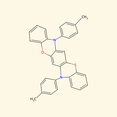 Cc1ccc(-n2c3ccccc3oc3cc4c(cc32)sc2ccccc2n4-c2ccc(C)cc2)cc1